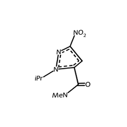 CNC(=O)c1cc([N+](=O)[O-])nn1C(C)C